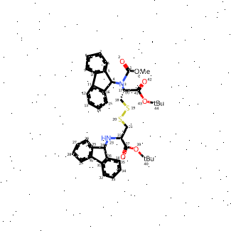 COC(=O)N(C1c2ccccc2-c2ccccc21)[C@@H](CSSCC(NC1c2ccccc2-c2ccccc21)C(=O)OC(C)(C)C)C(=O)OC(C)(C)C